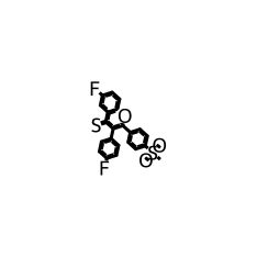 CS(=O)(=O)c1ccc(-c2oc3ccc(F)cc3c(=S)c2-c2ccc(F)cc2)cc1